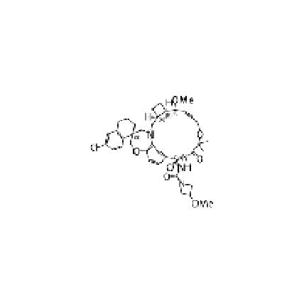 COC1CN(C(=O)N[S@]2(=O)=NC(=O)C(C)(C)OCC=C[C@H](OC)[C@@H]3CC[C@H]3CN3C[C@@]4(CCCc5cc(Cl)ccc54)COc4ccc2cc43)C1